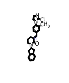 Cc1cc(/C=C2\CCCN(C3Cc4ccccc4C3)C2=O)ccc1-n1ccnc1Cl